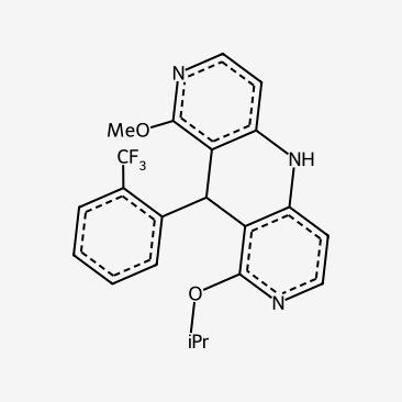 COc1nccc2c1C(c1ccccc1C(F)(F)F)c1c(ccnc1OC(C)C)N2